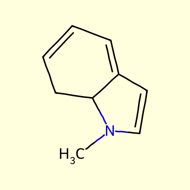 CN1C=CC2=CC=CCC21